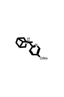 COc1ccc(NC2C3CC2CN(C)C3)nc1